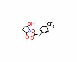 O=C(Cc1ccc(C(F)(F)F)cc1)ON1C(=O)CCC1O